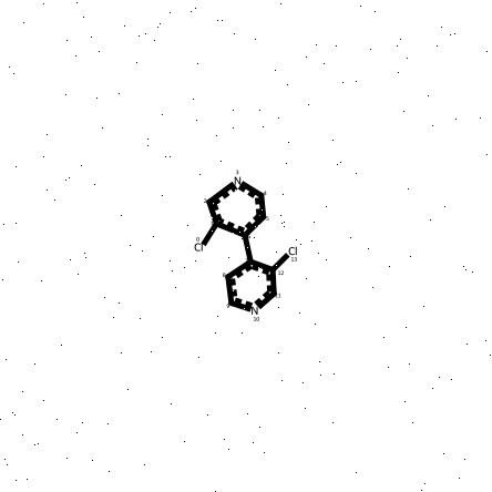 Clc1cnccc1-c1ccncc1Cl